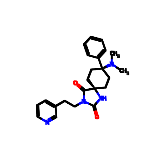 CN(C)[C@]1(c2ccccc2)CC[C@@]2(CC1)NC(=O)N(CCc1cccnc1)C2=O